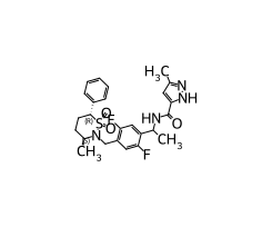 Cc1cc(C(=O)NC(C)c2cc(F)c(CN3[C@@H](C)CC[C@H](c4ccccc4)S3(=O)=O)cc2F)[nH]n1